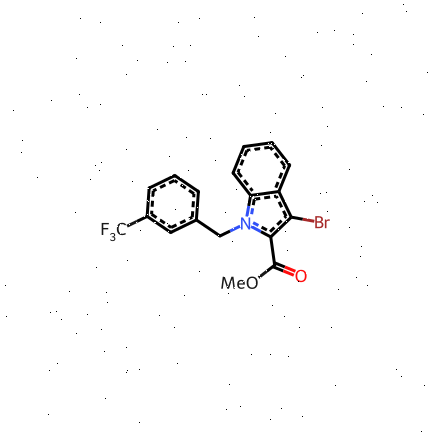 COC(=O)c1c(Br)c2ccccc2n1Cc1cccc(C(F)(F)F)c1